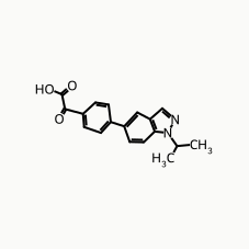 CC(C)n1ncc2cc(-c3ccc(C(=O)C(=O)O)cc3)ccc21